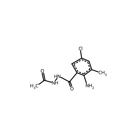 CC(=O)NNC(=O)c1cc(Cl)cc(C)c1N